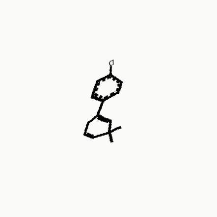 CC1(C)C=CCC(c2ccc(Cl)cc2)=C1